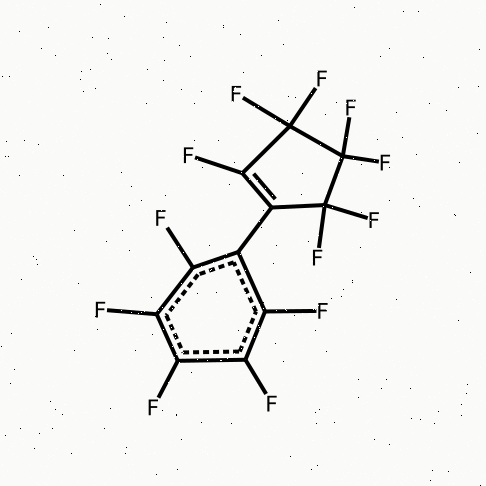 FC1=C(c2c(F)c(F)c(F)c(F)c2F)C(F)(F)C(F)(F)C1(F)F